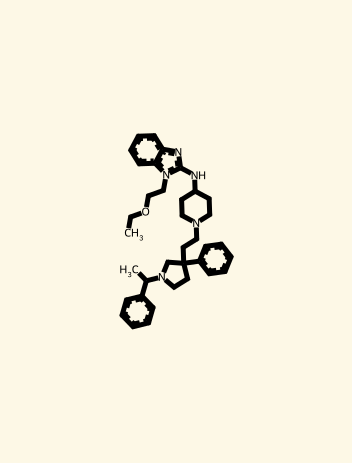 CCOCCn1c(NC2CCN(CCC3(c4ccccc4)CCN(C(C)c4ccccc4)C3)CC2)nc2ccccc21